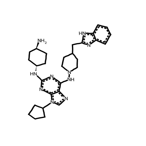 N[C@H]1CC[C@H](Nc2nc(NN3CCC(Cc4nc5ccccc5[nH]4)CC3)c3ncn(C4CCCC4)c3n2)CC1